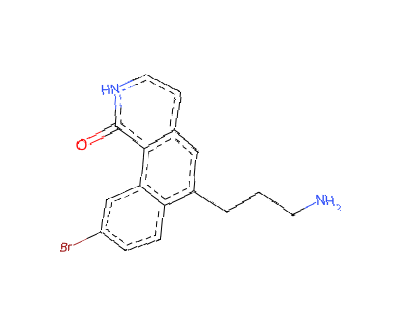 NCCCc1cc2cc[nH]c(=O)c2c2cc(Br)ccc12